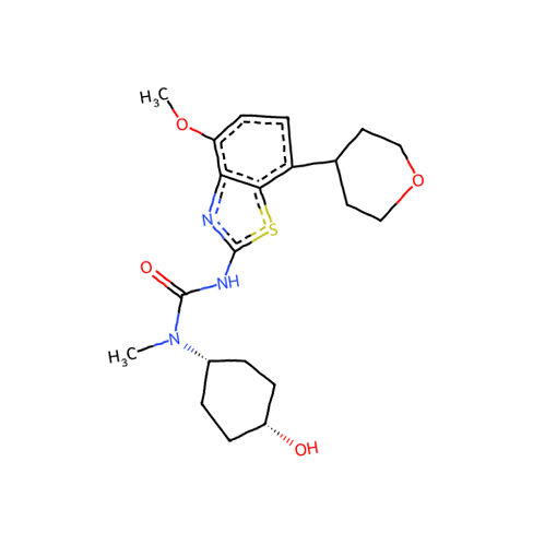 COc1ccc(C2CCOCC2)c2sc(NC(=O)N(C)[C@H]3CC[C@@H](O)CC3)nc12